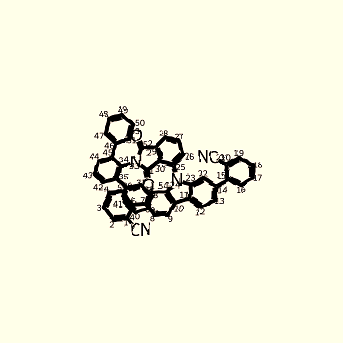 N#Cc1ccccc1-c1ccc2c3ccc(-c4ccccc4C#N)cc3n(-c3cccc4c3C(=O)N(c3c(-c5ccccc5)cccc3-c3ccccc3)C4=O)c2c1